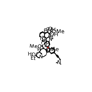 CC[C@]1(O)C[C@H]2CN(CCc3c([nH]c4ccc(C#CCN(C)C)cc34)[C@@](C(=O)OC)(C3C=C4C(=CC3OC)N(C)[C@H]3[C@@](O)(C(=O)OC)[C@H](OC(C)=O)[C@]5(CC)C=CCN6CC[C@]43[C@@H]65)C2)C1